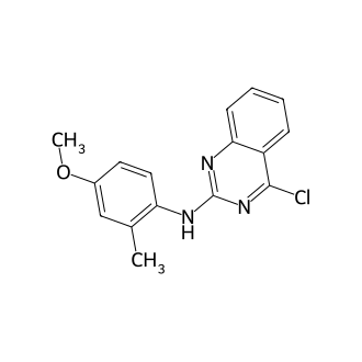 COc1ccc(Nc2nc(Cl)c3ccccc3n2)c(C)c1